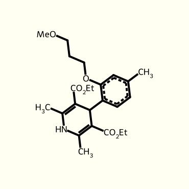 CCOC(=O)C1=C(C)NC(C)=C(C(=O)OCC)C1c1ccc(C)cc1OCCCOC